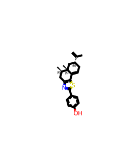 C=C(C)[C@@H]1CC=C2c3sc(-c4ccc(O)cc4)nc3C[C@@H](C)[C@]2(C)C1